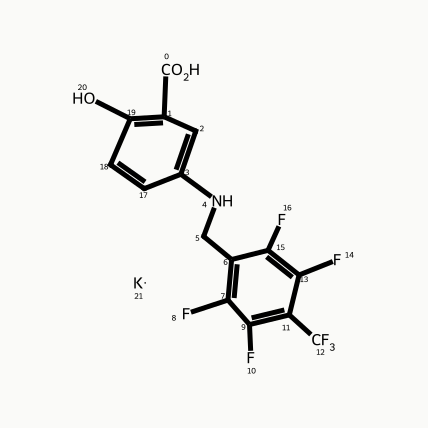 O=C(O)c1cc(NCc2c(F)c(F)c(C(F)(F)F)c(F)c2F)ccc1O.[K]